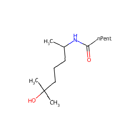 CCCCCC(=O)NC(C)CCCC(C)(C)O